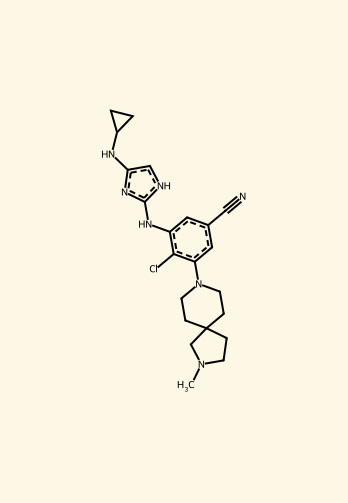 CN1CCC2(CCN(c3cc(C#N)cc(Nc4nc(NC5CC5)c[nH]4)c3Cl)CC2)C1